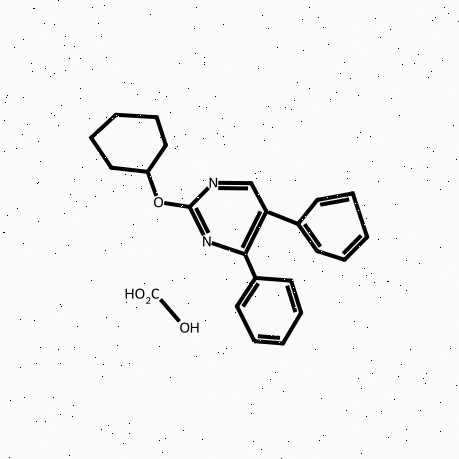 O=C(O)O.c1ccc(-c2cnc(OC3CCCCC3)nc2-c2ccccc2)cc1